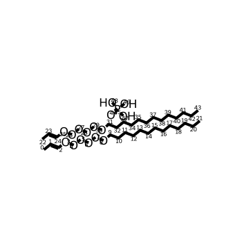 CC=COOOOOOCCCCCCCCCCCCC.CC=COOOOOOCCCCCCCCCCCCC.O=P(O)(O)O